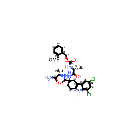 CC[C@H](C)C(NC(=O)[C@@]1(NC(=O)C(NC(=O)OCc2ccccc2OC)[C@@H](C)CC)CCc2[nH]c3c(Cl)cc(Cl)cc3c2C1)C(N)=O